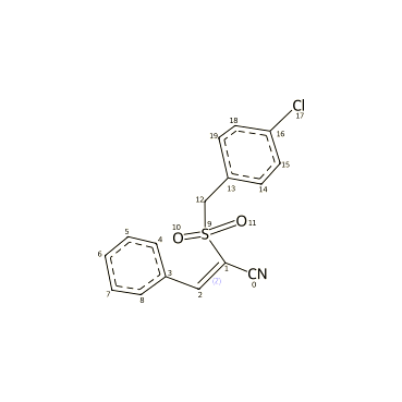 N#C/C(=C/c1ccccc1)S(=O)(=O)Cc1ccc(Cl)cc1